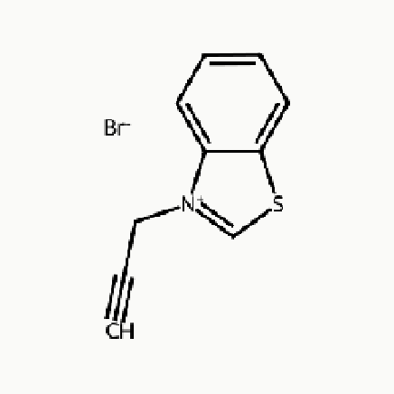 C#CC[n+]1csc2ccccc21.[Br-]